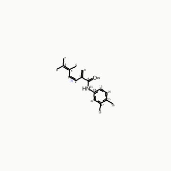 C=C(/C=C\C(C)=C(C)C)C(=O)Nc1ccc(C)c(C)c1